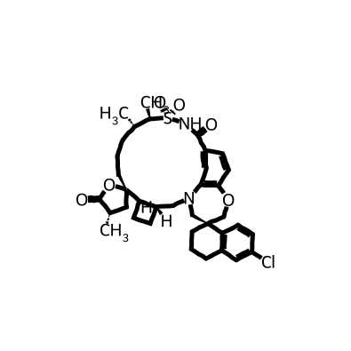 C[C@@H]1[C@@H](C)CCC[C@]2(C[C@H](C)C(=O)O2)[C@@H]2CC[C@H]2CN2C[C@@]3(CCCc4cc(Cl)ccc43)COc3ccc(cc32)C(=O)NS1(=O)=O